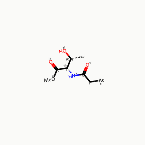 COC(=O)[C@@H](NC(=O)CC(C)=O)[C@@H](C)O